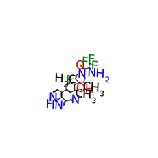 Cc1cc(-c2ccnc3[nH]cc(C#N)c23)cc(F)c1C1(O)[C@H](C)CN(C(=O)C(N)C(F)(F)F)C[C@@H]1C